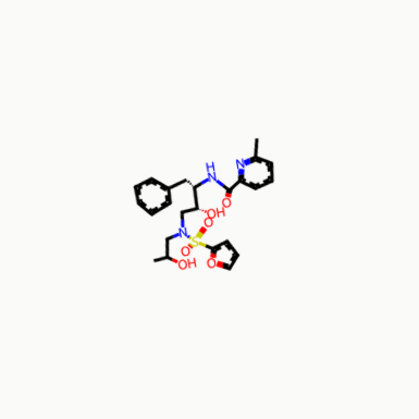 Cc1cccc(C(=O)N[C@@H](Cc2ccccc2)[C@H](O)CN(CC(C)O)S(=O)(=O)c2ccco2)n1